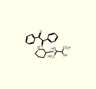 NC1CCCNC1.O=C(C(=O)c1ccccc1)c1ccccc1.O=C(O)C(O)C(O)C(=O)O